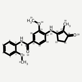 COc1ccccc1NC(=O)c1ccc(NC2=C(C)C(=O)CC2)c(OC)c1